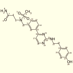 CS(=O)(=O)N(CCC(N)=O)Cc1cccc(-c2ccnc(NCCc3ccc(O)cc3)n2)c1